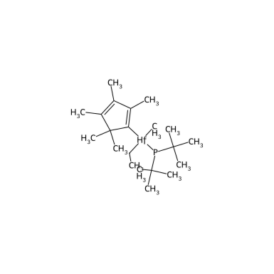 C[CH2][Hf]([CH3])([C]1=C(C)C(C)=C(C)C1(C)C)[P](C(C)(C)C)C(C)(C)C